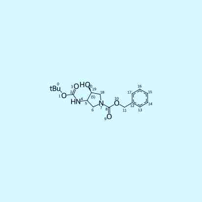 CC(C)(C)OC(=O)NC1CN(C(=O)OCc2ccccc2)C[C@@H]1O